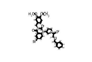 COc1ccc(Cn2c(=O)c3cc(Br)ccc3n(C3CCN(C(=O)COCc4ccccc4)C3)c2=O)cc1OC